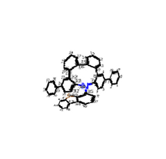 c1ccc(-c2ccc3c(c2)c2ccccc2c2ccccc2c2cc(-c4ccccc4)ccc2n3-c2cccc3c2sc2ccccc23)cc1